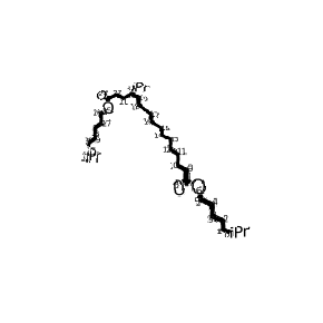 CC(C)CCCCCOC(=O)CCCCCCCCCCCC(CCC(=O)OCCCCCC(C)C)C(C)C